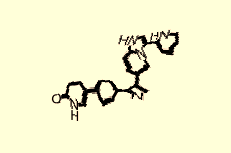 O=c1ccc(-c2ccc(C3=NC=C3C3=CN4C(C5=CC=CCN5)=CNC4C=C3)cc2)c[nH]1